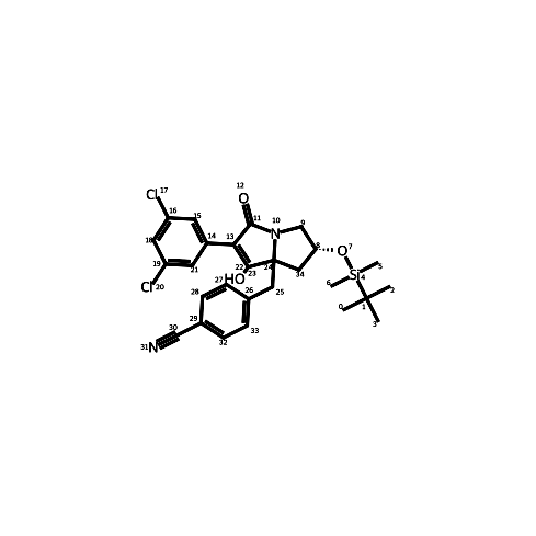 CC(C)(C)[Si](C)(C)O[C@H]1CN2C(=O)C(c3cc(Cl)cc(Cl)c3)=C(O)C2(Cc2ccc(C#N)cc2)C1